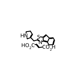 C1=CCC2=c3nc(CC4=CCCNC4)sc3=CC2=C1.O=C(O)C=CC(=O)O